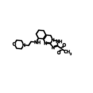 CS(=O)(=O)C1=NC2=NC3=C(CCCC3NCCN3CCOCC3)CN2N1